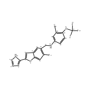 Fc1cc2oc(-c3nnn[nH]3)cc2cc1CNc1ccc(OC(F)(F)F)c(Br)c1